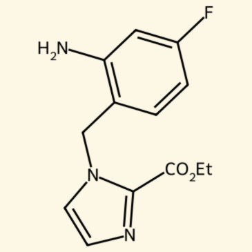 CCOC(=O)c1nccn1Cc1ccc(F)cc1N